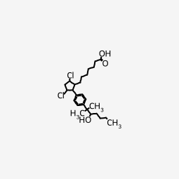 CCCCC(O)C(C)(C)c1ccc(C2C(Cl)CC(Cl)C2CCCCCCC(=O)O)cc1